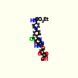 CCOC(=O)NC1CCN(c2ccc(-c3nc4nc(O[C@@H]5COC6C5OC[C@H]6O)[nH]c4cc3Cl)cc2)CC1